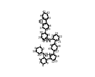 c1ccc(Nc2ccccc2-c2cccc(-c3ccc(-c4ccccc4Nc4cccc(-c5ccc6c(c5)oc5ccccc56)c4)cc3)c2)cc1